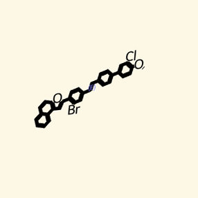 COc1ccc(-c2ccc(/C=C/c3ccc(-c4cc5c(ccc6ccccc65)o4)c(Br)c3)cc2)cc1Cl